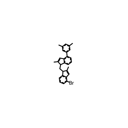 CC1=Cc2c(Br)cccc2C1CC1C(C)=Cc2c(-c3cc(C)cc(C)c3)cccc21